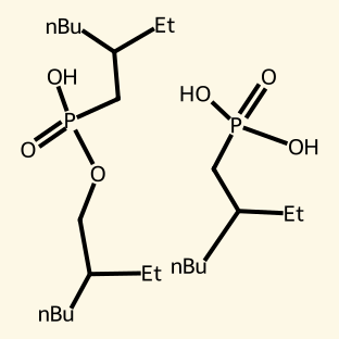 CCCCC(CC)COP(=O)(O)CC(CC)CCCC.CCCCC(CC)CP(=O)(O)O